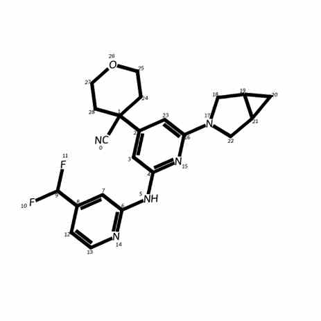 N#CC1(c2cc(Nc3cc(C(F)F)ccn3)nc(N3CC4CC4C3)c2)CCOCC1